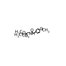 COc1ccc(CC(=O)NCC(=O)OC(C)(C)C)cc1